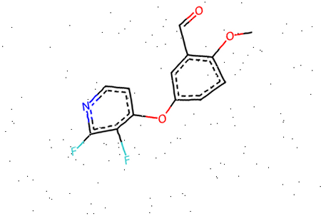 COc1ccc(Oc2ccnc(F)c2F)cc1C=O